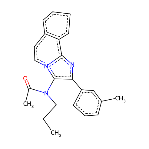 CCCN(C(C)=O)c1c(-c2cccc(C)c2)nc2c3ccccc3ccn12